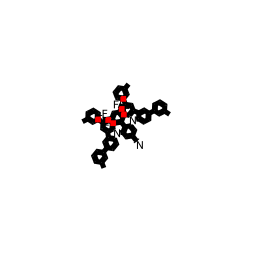 Cc1cccc(-c2ccc3c(c2)c2cc(-c4cccc(C)c4)ccc2n3-c2cc(C#N)cc(-n3c4ccc(-c5cccc(C)c5)cc4c4cc(-c5cccc(C)c5)ccc43)c2-c2cc(C(F)(F)F)cc(C(F)(F)F)c2)c1